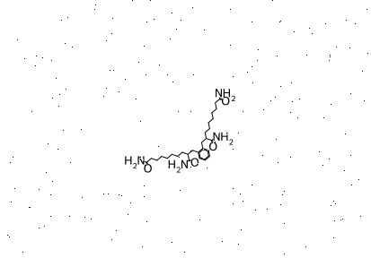 NC(=O)CCCCCCCC(Cc1ccccc1CC(CCCCCCCC(N)=O)C(N)=O)C(N)=O